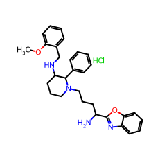 COc1ccccc1CNC1CCCN(CCCC(N)c2nc3ccccc3o2)C1c1ccccc1.Cl